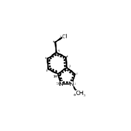 Cn1cc2cc(CCl)ccc2n1